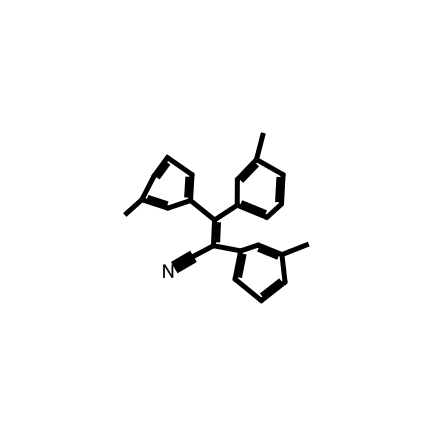 Cc1cccc(C(C#N)=C(c2cccc(C)c2)c2cccc(C)c2)c1